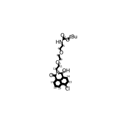 CC(C)(C)OC(=O)NCCOCCOCCN1C(=O)c2cccc3c(Cl)ccc(c23)C1O